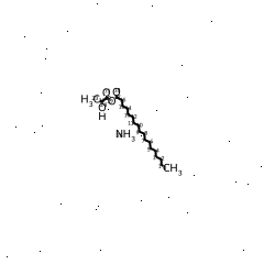 CCCCCCCCCCCCCCCCCC(=O)OC(=O)C(C)O.N